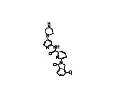 COc1cccc2c1CN(c1cccc(C(=O)Nc3cc(N4CCNCC4)ccn3)n1)C2=O